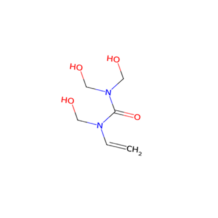 C=CN(CO)C(=O)N(CO)CO